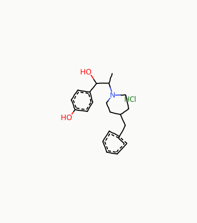 CC(C(O)c1ccc(O)cc1)N1CCC(Cc2ccccc2)CC1.Cl